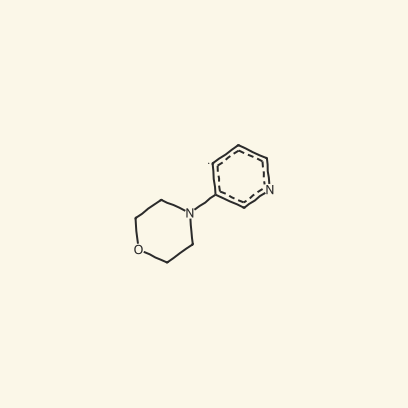 [c]1ccncc1N1CCOCC1